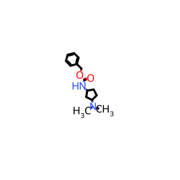 CN(C)C1CCC(NC(=O)OCc2ccccc2)C1